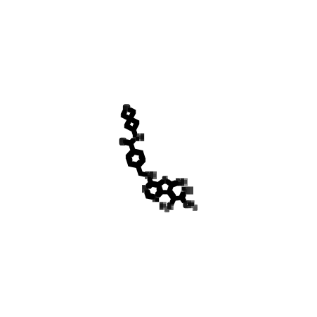 CC(=N)/C(C)=C1\C(=N)Sc2c(NCc3ccc(C(=O)NC4CC5(COC5)C4)cc3)ncnc21